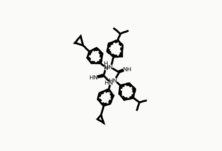 CC(C)c1ccc(NC(=N)Nc2ccc(C(C)C)cc2)cc1.N=C(Nc1ccc(C2CC2)cc1)Nc1ccc(C2CC2)cc1